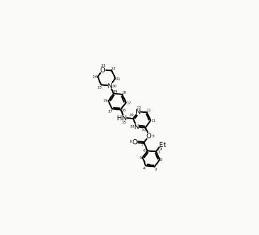 CCc1ccccc1C(=O)Oc1ccnc(Nc2ccc(N3CCOCC3)cc2)n1